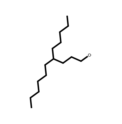 CCCCCCC(CCC[O])CCCCC